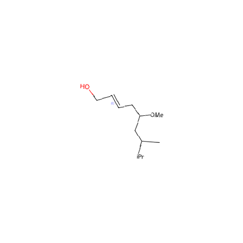 COC(C/C=C/CO)CC(C)C(C)C